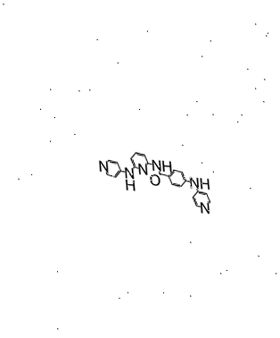 O=C(Nc1cccc(Nc2ccncc2)n1)c1ccc(Nc2ccncc2)cc1